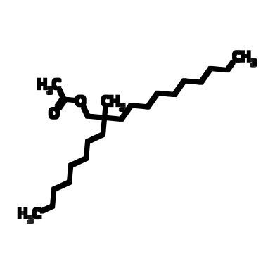 CCCCCCCCCCC(C)(CCCCCCCC)COC(C)=O